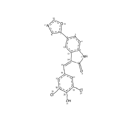 O=C1Nc2ccc(-c3cnco3)cc2/C1=C/c1cc(Cl)c(O)c(Cl)c1